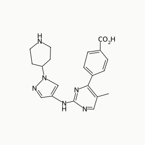 Cc1cnc(Nc2cnn(C3CCNCC3)c2)nc1-c1ccc(C(=O)O)cc1